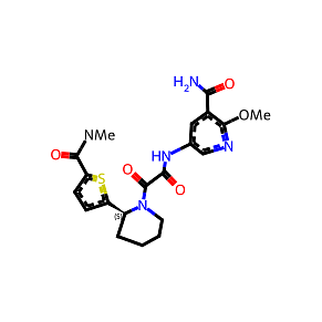 CNC(=O)c1ccc([C@@H]2CCCCN2C(=O)C(=O)Nc2cnc(OC)c(C(N)=O)c2)s1